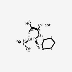 C1CCCCC1.CCCCCCCC(O[PH](=O)O[PH](=O)O)=C(C)O